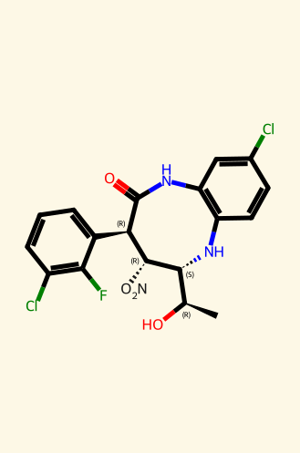 C[C@@H](O)[C@H]1Nc2ccc(Cl)cc2NC(=O)[C@H](c2cccc(Cl)c2F)[C@H]1[N+](=O)[O-]